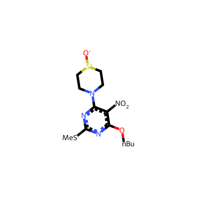 CCCCOc1nc(SC)nc(N2CC[S+]([O-])CC2)c1[N+](=O)[O-]